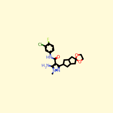 Cn1nc(C2CC3CC4(CC3C2)OCCO4)c(C(=O)Nc2ccc(F)c(Cl)c2)c1N